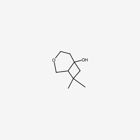 CC1(C)CC2(O)CCOCC12